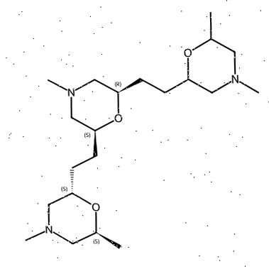 CC1CN(C)CC(CC[C@@H]2CN(C)C[C@H](CC[C@H]3CN(C)C[C@H](C)O3)O2)O1